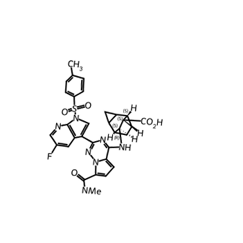 CNC(=O)c1ccc2c(N[C@@H]3[C@@H](C(=O)O)[C@H]4CC[C@@H]3C3CC34)nc(-c3cn(S(=O)(=O)c4ccc(C)cc4)c4ncc(F)cc34)nn12